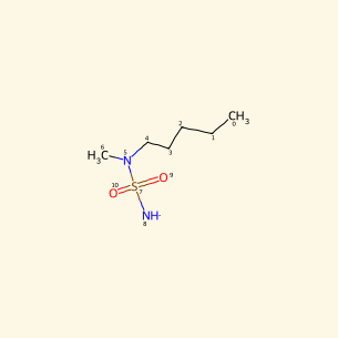 CCCCCN(C)S([NH])(=O)=O